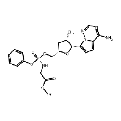 CC(C)OC(=O)CN[P@](=O)(OC[C@@H]1C[C@H](C)[C@H](c2ccc3c(N)ncnn23)O1)Oc1ccccc1